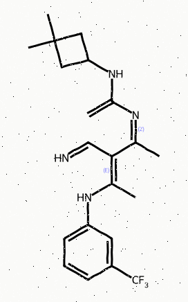 C=C(/N=C(C)\C(C=N)=C(/C)Nc1cccc(C(F)(F)F)c1)NC1CC(C)(C)C1